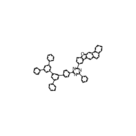 c1ccc(-c2cc(-c3ccccc3)cc(-c3cc(-c4ccccc4)cc(-c4ccc(-c5nc(-c6ccccc6)nc(-c6ccc7oc8cc9c(ccc%10ccccc%109)cc8c7c6)n5)cc4)c3)c2)cc1